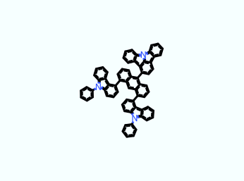 c1ccc(-n2c3ccccc3c3c(-c4cccc5c(-c6ccc7c8ccccc8n8c9ccccc9c6c78)c6cccc(-c7cccc8c7c7ccccc7n8-c7ccccc7)c6cc45)cccc32)cc1